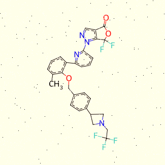 Cc1cccc(-c2cccc(-n3ncc4c3C(F)(F)OC4=O)n2)c1OCc1ccc(C2CN(CC(F)(F)F)C2)cc1